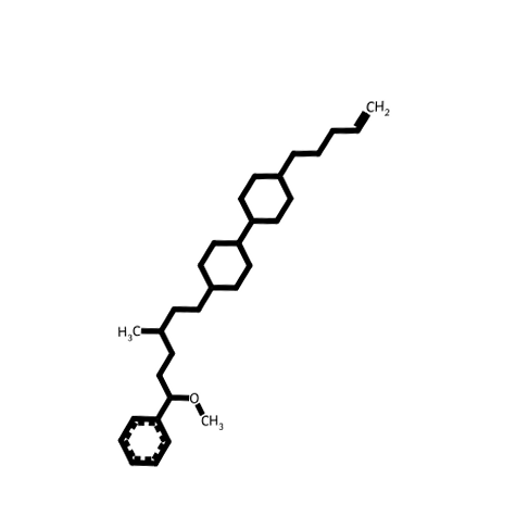 C=CCCCC1CCC(C2CCC(CCC(C)CCC(OC)c3ccccc3)CC2)CC1